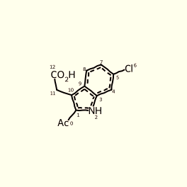 CC(=O)c1[nH]c2cc(Cl)ccc2c1CC(=O)O